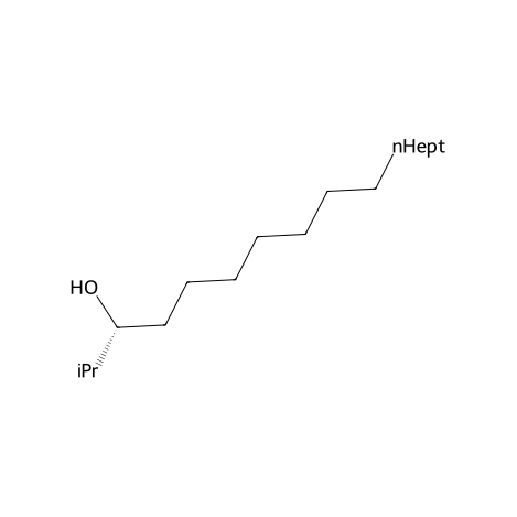 CCCCCCCCCCCCCC[C@@H](O)C(C)C